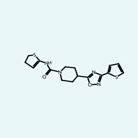 O=C(NC1=CCCS1)N1CCC(c2nc(-c3cccs3)no2)CC1